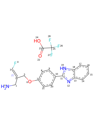 NC/C(=C/F)COc1ccc(-c2nc3ccccc3[nH]2)cc1.O=C(O)C(F)(F)F